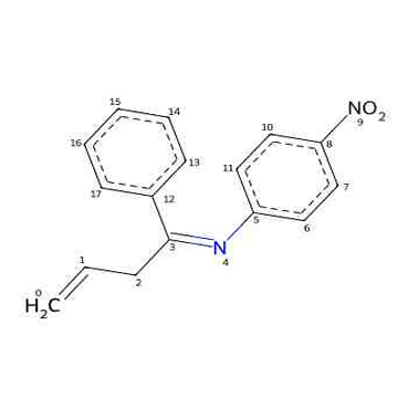 C=CCC(=Nc1ccc([N+](=O)[O-])cc1)c1ccccc1